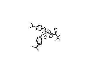 CC(C)c1ccc(OP(=O)(OOC(=O)C(C)(C)C)Oc2ccc(C(C)C)cc2)cc1